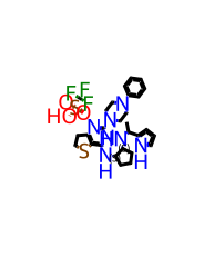 CC(N[C@H]1CCC[C@@H]1Nc1nc(N2CCN(c3ccccc3)CC2)nc2c1SCC2)c1ccc[nH]1.O=S(=O)(O)C(F)(F)F